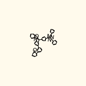 c1ccc(-c2nc(-c3ccccc3)nc(-c3ccc(-c4c5cc(-c6cccc7c6oc6ccccc67)ccc5n5c4oc4ccccc45)cc3)n2)cc1